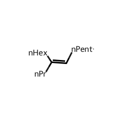 CCCC[CH]C=C(CCC)CCCCCC